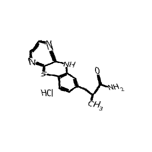 CC(C(N)=O)c1ccc2c(c1)Nc1nccnc1S2.Cl